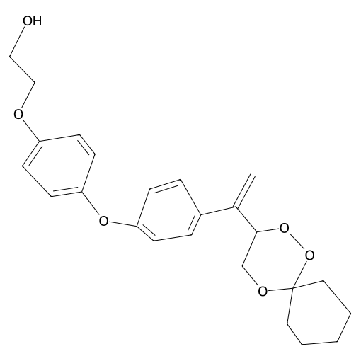 C=C(c1ccc(Oc2ccc(OCCO)cc2)cc1)C1COC2(CCCCC2)OO1